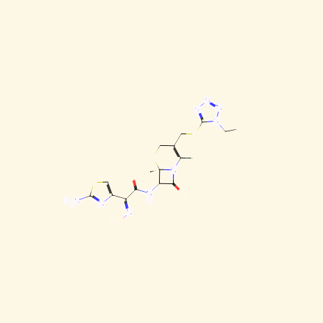 Nc1nc(C(=NO)C(=O)NC2C(=O)N3C(C(=O)O)=C(CSc4nnnn4CC(=O)O)CS[C@@H]23)cs1